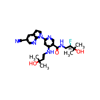 CC(C)(O)C=CNc1cc(-n2ccc3cc(C#N)cnc32)ncc1C(=O)NC[C@@H](F)C(C)(C)O